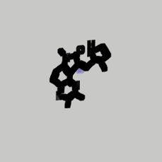 Cc1cc[nH]c1/C=C1\C(=O)N(C)c2ccc3nc(C)c(C)nc3c21